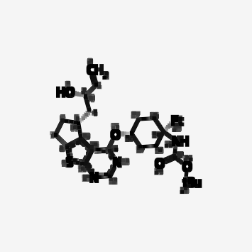 C=C[C@@H](O)C[C@H]1CCc2sc3ncnc(O[C@H]4CC[C@](CC)(NC(=O)OC(C)(C)C)CC4)c3c21